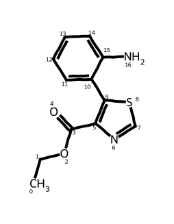 CCOC(=O)c1ncsc1-c1ccccc1N